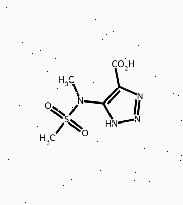 CN(c1[nH]nnc1C(=O)O)S(C)(=O)=O